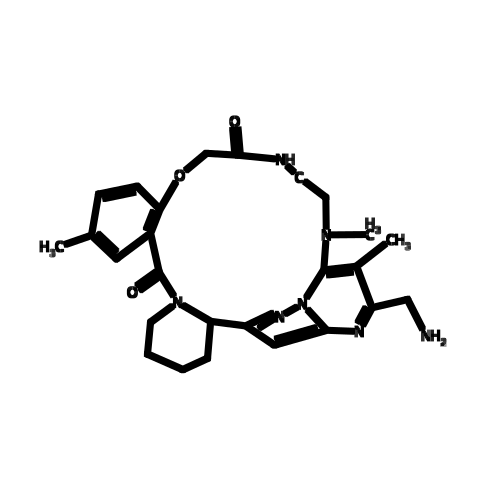 Cc1ccc2c(c1)C(=O)N1CCCCC1c1cc3nc(CN)c(C)c(n3n1)N(C)CCNC(=O)CO2